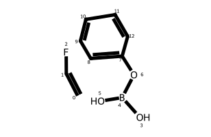 C=CF.OB(O)Oc1ccccc1